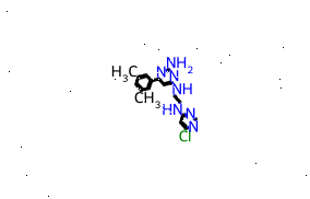 Cc1cc(C)cc(-c2cc(NCCNc3cc(Cl)ncn3)nc(N)n2)c1